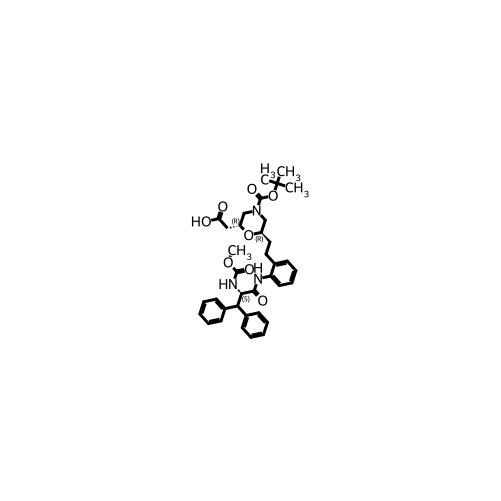 COC(=O)N[C@H](C(=O)Nc1ccccc1CC[C@@H]1CN(C(=O)OC(C)(C)C)C[C@@H](CC(=O)O)O1)C(c1ccccc1)c1ccccc1